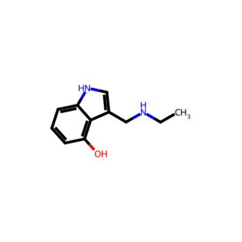 CCNCc1c[nH]c2cccc(O)c12